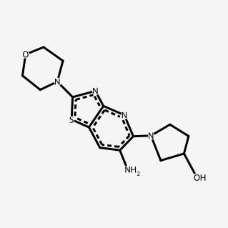 Nc1cc2sc(N3CCOCC3)nc2nc1N1CCC(O)C1